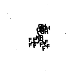 CC(C)NC(CC(F)(F)C(F)F)CC(F)(F)C(F)F.O=P(O)(O)O